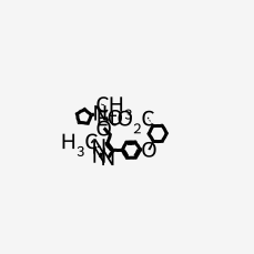 CCOC(=O)[C@@H]1CCC[C@@H](Oc2ccc(-c3nnn(C)c3COC(=O)N(C)C3CCCC3)cc2)C1